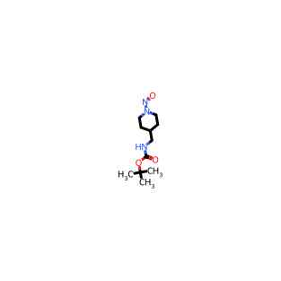 CC(C)(C)OC(=O)NCC1CCN(N=O)CC1